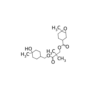 CC1(O)CCC(COC(=O)C(C)(C)COC(=O)C2CCC3(C)OC3C2)CC1